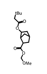 COCOC(=O)C1CC2CC(OC(=O)CC(C)(C)C)C1C2